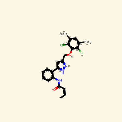 C/C=C\C(=O)Nc1ccccc1-c1cc(COc2c(Cl)c(OC)cc(OC)c2Cl)n[nH]1